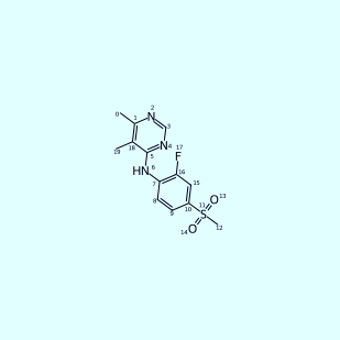 Cc1ncnc(Nc2ccc(S(C)(=O)=O)cc2F)c1C